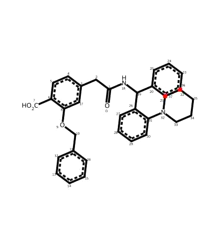 O=C(Cc1ccc(C(=O)O)c(OCc2ccccc2)c1)NC(c1ccccc1)c1ccccc1N1CCCCC1